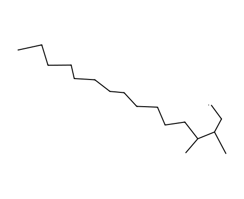 [CH2]CC(C)C(C)CCCCCCCCCCCC